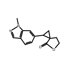 Cn1ncc2ccc(C3CC34CCOC4=O)cc21